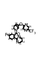 O=C(c1cc(F)ccc1-c1ncccn1)N1CC2CC(Oc3cnc(C(F)(F)F)cn3)C1C2